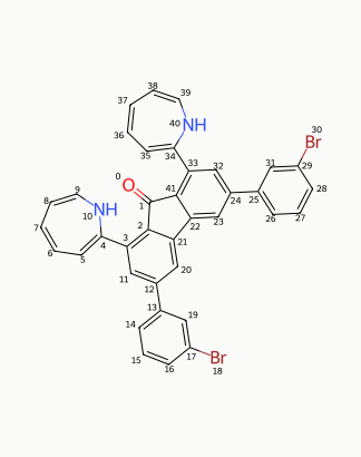 O=C1c2c(C3=CC=CC=CN3)cc(-c3cccc(Br)c3)cc2-c2cc(-c3cccc(Br)c3)cc(C3=CC=CC=CN3)c21